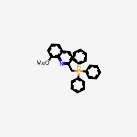 COc1cccc2ccc(C[PH](c3ccccc3)(c3ccccc3)c3ccccc3)nc12